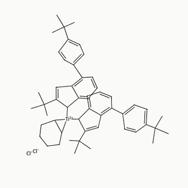 CC(C)(C)C1=Cc2c(-c3ccc(C(C)(C)C)cc3)cccc2[CH]1[Ti+2]1([CH]2C(C(C)(C)C)=Cc3c(-c4ccc(C(C)(C)C)cc4)cccc32)[CH]2CCCC[CH]21.[Cl-].[Cl-]